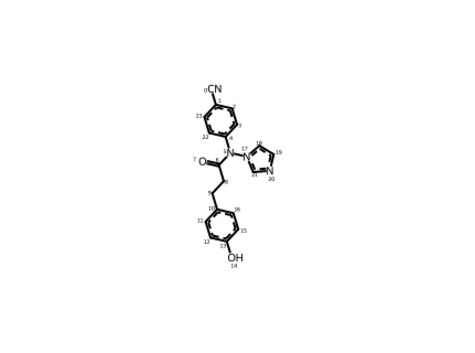 N#Cc1ccc(N(C(=O)CCc2ccc(O)cc2)n2ccnc2)cc1